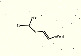 CCCCC/C=C/CC(CC)CCC